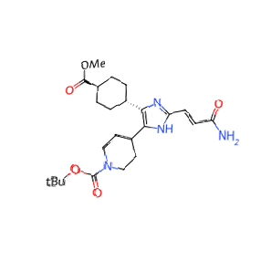 COC(=O)[C@H]1CC[C@H](c2nc(/C=C/C(N)=O)[nH]c2C2CCN(C(=O)OC(C)(C)C)CC2)CC1